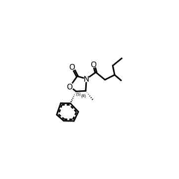 CCC(C)CC(=O)N1C(=O)O[C@@H](c2ccccc2)[C@H]1C